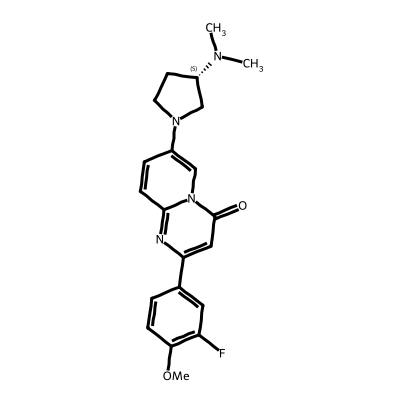 COc1ccc(-c2cc(=O)n3cc(N4CC[C@H](N(C)C)C4)ccc3n2)cc1F